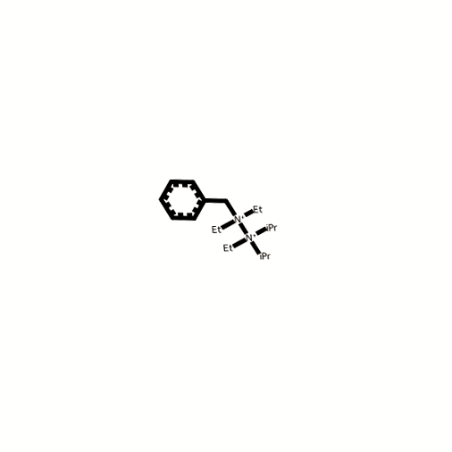 CC[N+](CC)(Cc1ccccc1)[N+](CC)(C(C)C)C(C)C